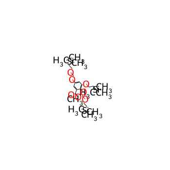 COC(=O)c1cc(OCOCC[Si](C)(C)C)cc(OCC[Si](C)(C)C)c1OCOCC[Si](C)(C)C